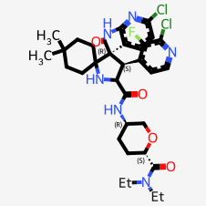 CCN(CC)C(=O)[C@@H]1CC[C@@H](NC(=O)C2NC3(CCC(C)(C)CC3)[C@@]3(C(=O)Nc4nc(Cl)ccc43)[C@H]2c2ccnc(Cl)c2F)CO1